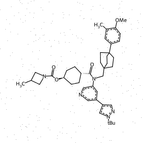 COc1ccc(C23CCC(CN(c4cncc(-c5cnn(C(C)(C)C)c5)c4)C(=O)[C@H]4CC[C@H](OC(=O)N5CC(C)C5)CC4)(CC2)CC3)cc1C